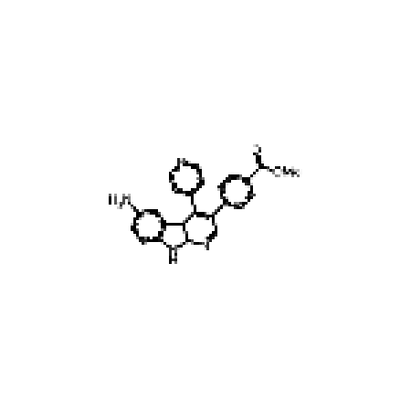 COC(=O)c1ccc(C2=C(c3ccncc3)C3c4cc(N)ccc4NC3N=C2)cc1